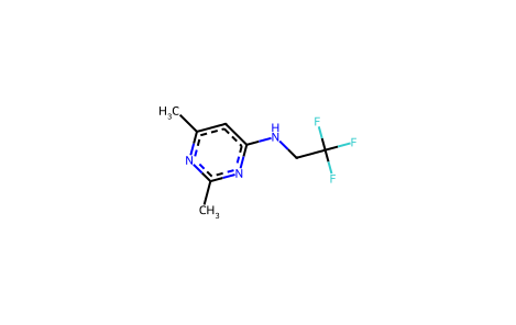 Cc1cc(NCC(F)(F)F)nc(C)n1